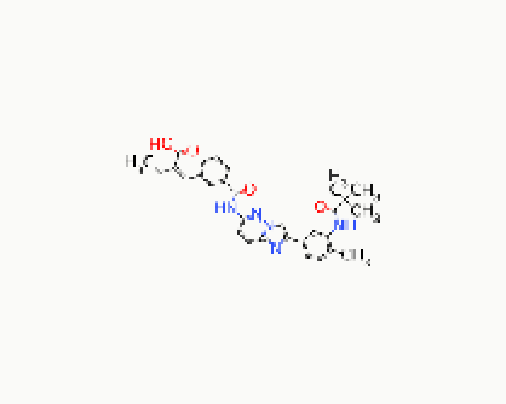 CCC(=Cc1cccc(C(=O)Nc2ccc3nc(-c4ccc(C)c(NC(=O)C(C)(C)C)c4)cn3n2)c1)C(=O)O